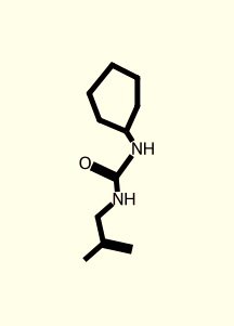 C=C(C)CNC(=O)NC1CCCCC1